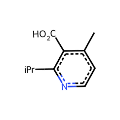 Cc1ccnc(C(C)C)c1C(=O)O